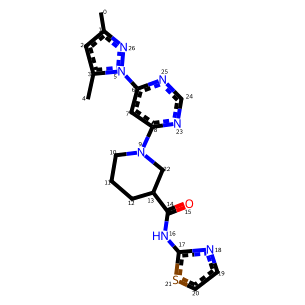 Cc1cc(C)n(-c2cc(N3CCCC(C(=O)Nc4nccs4)C3)ncn2)n1